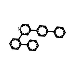 c1ccc(-c2ccc(-c3ccnc(-c4ccccc4-c4ccccc4)c3)cc2)cc1